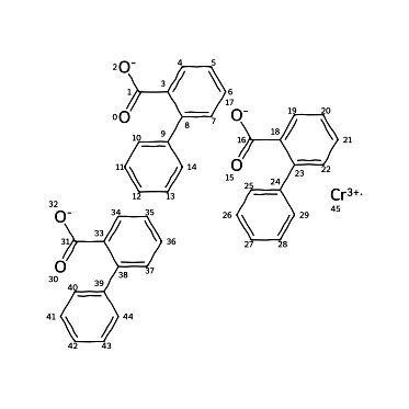 O=C([O-])c1ccccc1-c1ccccc1.O=C([O-])c1ccccc1-c1ccccc1.O=C([O-])c1ccccc1-c1ccccc1.[Cr+3]